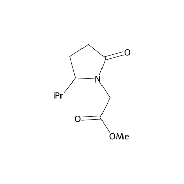 COC(=O)CN1C(=O)CCC1C(C)C